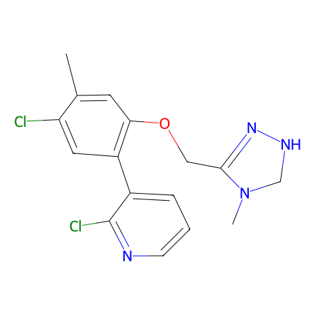 Cc1cc(OCC2=NNCN2C)c(-c2cccnc2Cl)cc1Cl